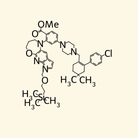 COC(=O)c1ccc(N2CCN(CC3=C(c4ccc(Cl)cc4)CC(C)(C)CC3)CC2)cc1N1CCCOc2nc3c(ccn3COCC[Si](C)(C)C)cc21